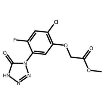 COC(=O)COc1cc(-n2nn[nH]c2=O)c(F)cc1Cl